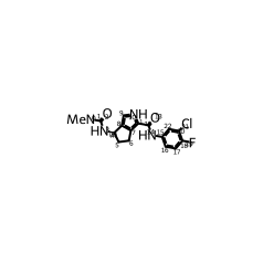 CNC(=O)N[C@@H]1CCc2c1c[nH]c2C(=O)Nc1ccc(F)c(Cl)c1